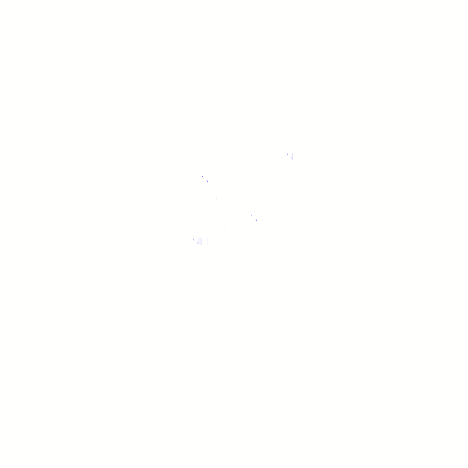 CC(C)CC1CNc2c(cc(CCC(=O)O)cc2S(=O)(=O)N[C@@H](Cc2nc3ccccc3s2)C(=O)N2CCC(CCF)CC2)C1